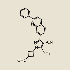 N#Cc1c(-c2ccc3ccc(-c4ccccc4)nc3c2)nn(C2CC(C=O)C2)c1N